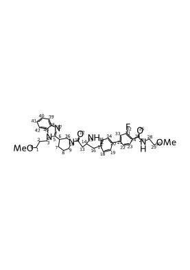 COCCCn1c(C2CCCN(C(=O)CC(N)Cc3ccc(-c4ccc(C(=O)NCCOC)c(F)c4)cc3)C2)nc2ccccc21